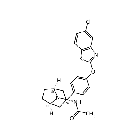 CC(=O)N[C@@H]1C[C@H]2CC[C@@H](C1)N2Cc1ccc(Oc2nc3cc(Cl)ccc3s2)cc1